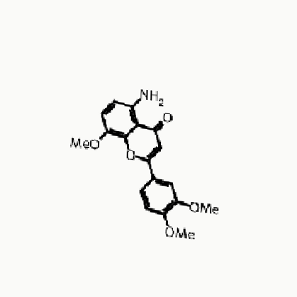 COc1ccc(-c2cc(=O)c3c(N)ccc(OC)c3o2)cc1OC